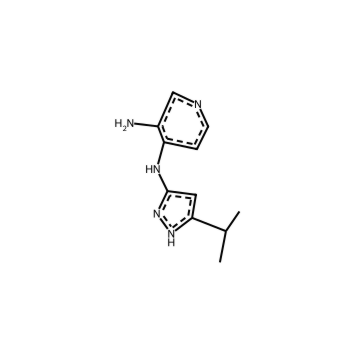 CC(C)c1cc(Nc2ccncc2N)n[nH]1